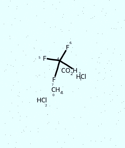 C.Cl.Cl.O=C(O)C(F)(F)F